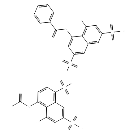 CC(=O)Nc1ccc(S(=O)(=O)O)c2cc(S(=O)(=O)O)cc(O)c12.O=C(Nc1cc(S(=O)(=O)O)cc2cc(S(=O)(=O)O)cc(O)c12)c1ccccc1